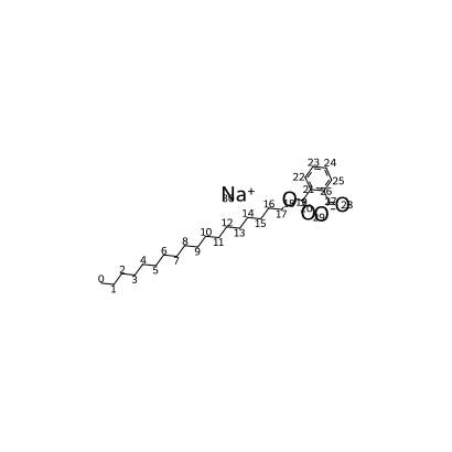 CCCCCCCCCCCCCCCCCCOC(=O)c1ccccc1C(=O)[O-].[Na+]